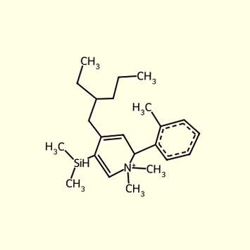 CCCC(CC)CC1=CC(c2ccccc2C)[N+](C)(C)C=C1[SiH](C)C